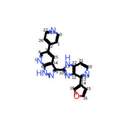 c1cc(-c2cnc3[nH]nc(-c4nc5c(-c6ccoc6)nccc5[nH]4)c3c2)ccn1